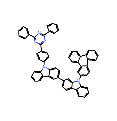 c1ccc(-c2nc(-c3ccccc3)nc(-c3ccc(-n4c5ccccc5c5cc(-c6ccc7c8ccccc8n(-c8ccc9c%10ccccc%10c%10ccccc%10c9c8)c7c6)ccc54)cc3)n2)cc1